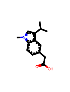 CC(C)c1cn(C)c2ccc(CC(=O)O)cc12